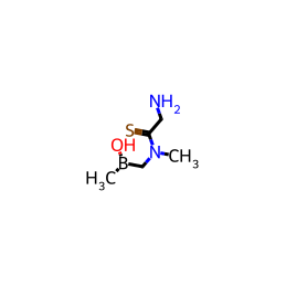 CB(O)CN(C)C(=S)CN